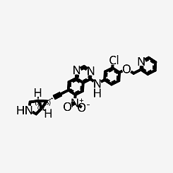 O=[N+]([O-])c1cc2c(Nc3ccc(OCc4ccccn4)c(Cl)c3)ncnc2cc1C#C[C@@H]1[C@H]2CNC[C@@H]12